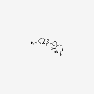 Nc1ccc2nc(N3CCC4(CCCC(=O)NC4=O)C3)sc2c1